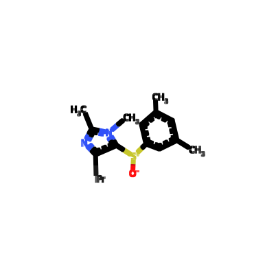 Cc1cc(C)cc([S+]([O-])c2c(C(C)C)nc(C)n2C)c1